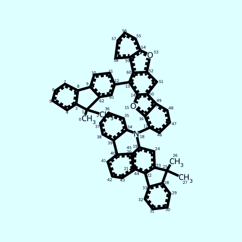 CC1(C)c2ccccc2-c2ccc(-c3c4oc5c(N(c6ccc7c(c6)C(C)(C)c6ccccc6-7)c6ccccc6-c6ccccc6)cccc5c4cc4oc5ccccc5c34)cc21